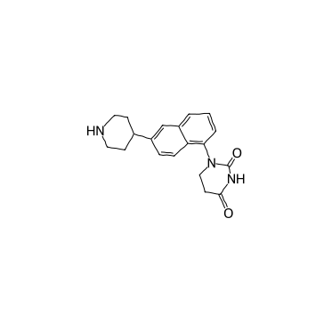 O=C1CCN(c2cccc3cc(C4CCNCC4)ccc23)C(=O)N1